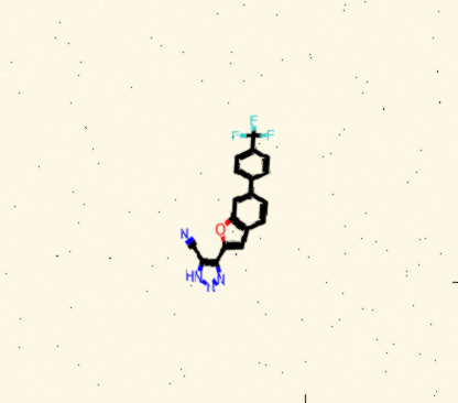 N#Cc1[nH]nnc1-c1cc2ccc(-c3ccc(C(F)(F)F)cc3)cc2o1